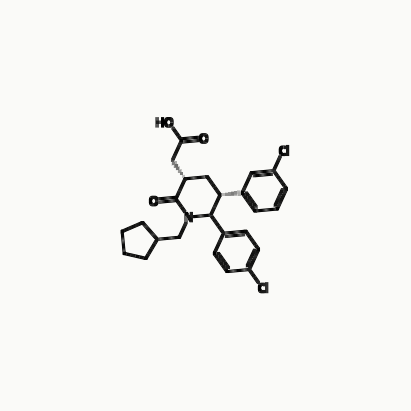 O=C(O)C[C@@H]1C[C@H](c2cccc(Cl)c2)C(c2ccc(Cl)cc2)N(CC2CCCC2)C1=O